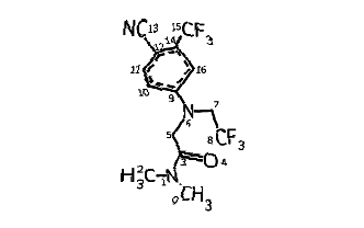 CN(C)C(=O)CN(CC(F)(F)F)c1ccc(C#N)c(C(F)(F)F)c1